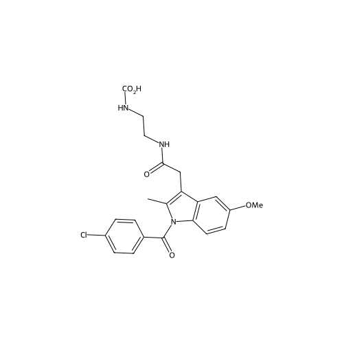 COc1ccc2c(c1)c(CC(=O)NCCNC(=O)O)c(C)n2C(=O)c1ccc(Cl)cc1